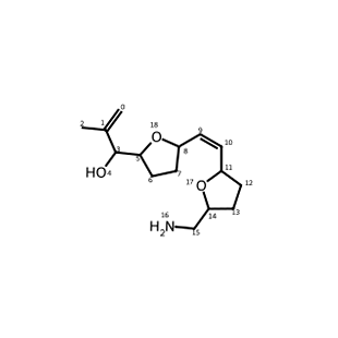 C=C(C)C(O)C1CCC(/C=C\C2CCC(CN)O2)O1